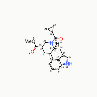 COC(=O)[C@@H]1CC2c3cccc4[nH]cc(c34)C[C@H]2N(C(=O)C2CC2)C1